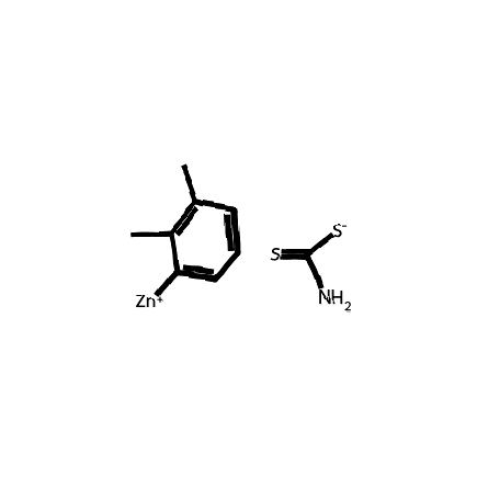 Cc1ccc[c]([Zn+])c1C.NC(=S)[S-]